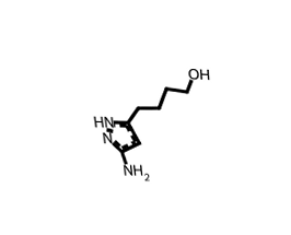 Nc1cc(CCCCO)[nH]n1